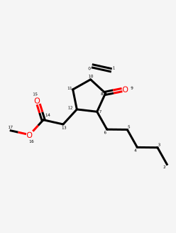 C=C.CCCCCC1C(=O)CCC1CC(=O)OC